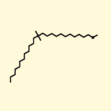 CCCCCCCCCCCC[N+](C)(C)CCCCCCCCCCC[N]C